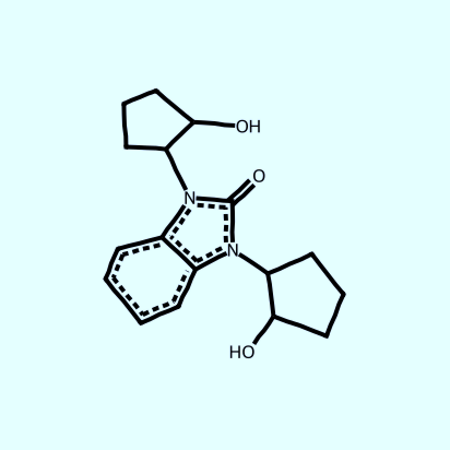 O=c1n(C2CCCC2O)c2ccccc2n1C1CCCC1O